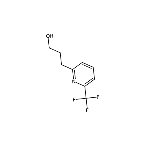 OCCCc1cccc(C(F)(F)F)n1